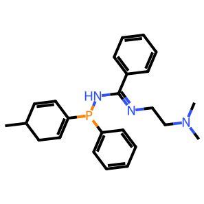 CC1C=CC(P(N/C(=N/CCN(C)C)c2ccccc2)c2ccccc2)=CC1